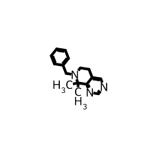 CC1(C)c2ncncc2CCN1Cc1ccccc1